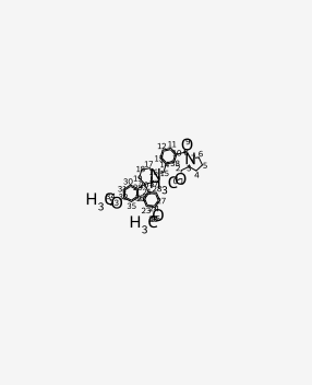 COCC1CCCN1C(=O)c1cccc(CN2CCCC(c3ccc(OC)cc3)(c3ccc(OC)cc3)C2)c1